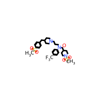 CS(=O)(=O)c1ccc(CC2CCN(CCCN(C(=O)C3CCN(S(C)(=O)=O)CC3)c3ccc(C(F)(F)F)cc3)CC2)cc1